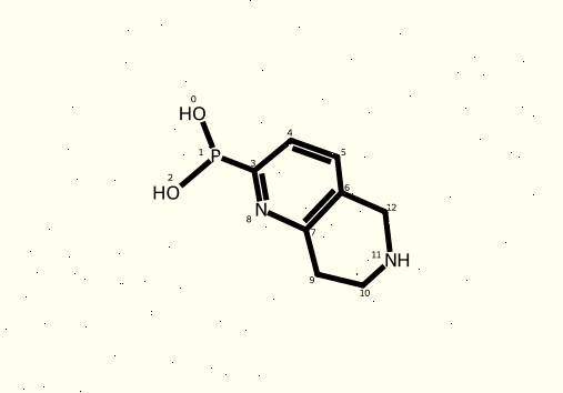 OP(O)c1ccc2c(n1)CCNC2